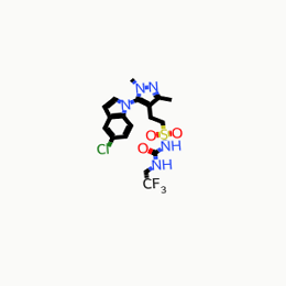 Cc1nn(C)c(-n2ccc3cc(Cl)ccc32)c1CCS(=O)(=O)NC(=O)NCC(F)(F)F